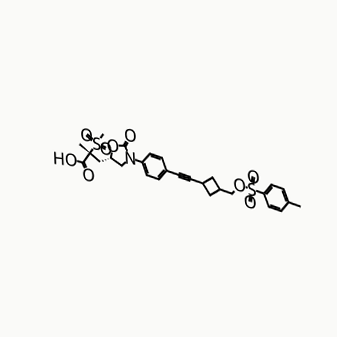 Cc1ccc(S(=O)(=O)OCC2CC(C#Cc3ccc(N4C[C@H](C[C@](C)(C(=O)O)S(C)(=O)=O)OC4=O)cc3)C2)cc1